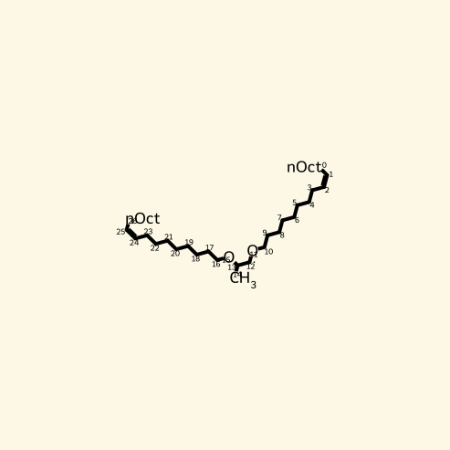 CCCCCCCC/C=C\CCCCCCCCO[CH]C(C)OCCCCCCCC/C=C\CCCCCCCC